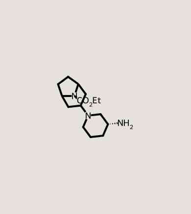 CCOC(=O)N1C2CCC1CC(N1CCC[C@@H](N)C1)C2